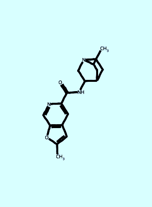 Cc1cc2cc(C(=O)NC3CN4CCC3CC4C)ncc2o1